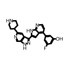 Oc1cc(F)cc(-c2ccnc3[nH]c(-c4n[nH]c5cnc(C6CCNCC6)cc45)cc23)c1